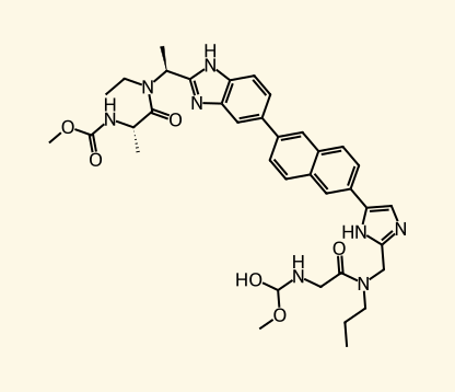 CCCN(Cc1ncc(-c2ccc3cc(-c4ccc5[nH]c([C@H](C)N(CC)C(=O)[C@H](C)NC(=O)OC)nc5c4)ccc3c2)[nH]1)C(=O)CNC(O)OC